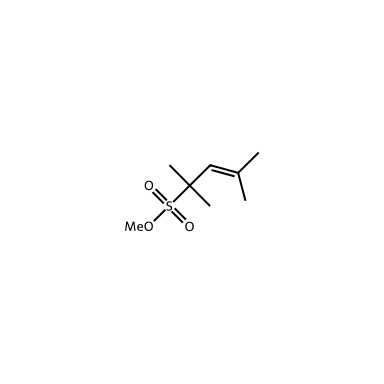 COS(=O)(=O)C(C)(C)C=C(C)C